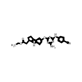 CCOC(=O)CC1CCc2c1[nH]c1ccc(Oc3nc(N)nc(Nc4ccc(C#N)cc4)n3)cc21